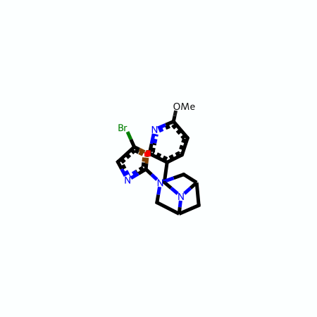 COc1ccc(CN2C3CC2CN(c2ncc(Br)s2)C3)cn1